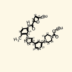 Cc1ccc(NC(=O)c2ccc(C(C)(C)C)o2)cc1-n1cc(-c2cncc(N3CCN(C(=O)OC(C)(C)C)CC3)c2)nn1